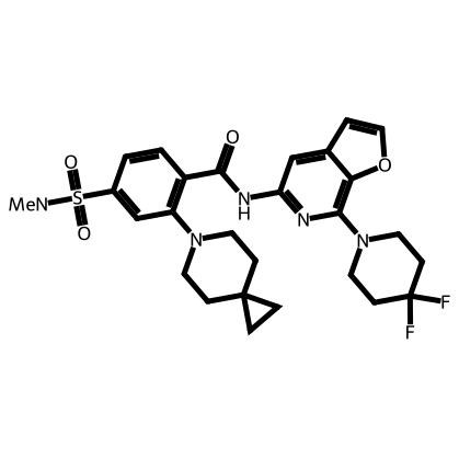 CNS(=O)(=O)c1ccc(C(=O)Nc2cc3ccoc3c(N3CCC(F)(F)CC3)n2)c(N2CCC3(CC2)CC3)c1